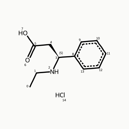 CCN[C@@H](CC(=O)O)c1ccccc1.Cl